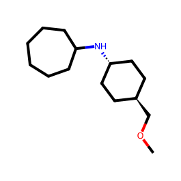 COC[C@H]1CC[C@H](NC2CCCCCC2)CC1